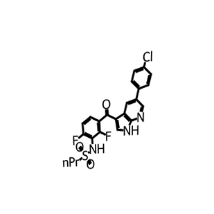 CCCS(=O)(=O)Nc1c(F)ccc(C(=O)c2c[nH]c3ncc(-c4ccc(Cl)cc4)cc23)c1F